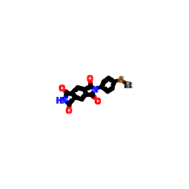 CCSc1ccc(-n2c(=O)c3cc4c(=O)[nH]c(=O)c4cc3c2=O)cc1